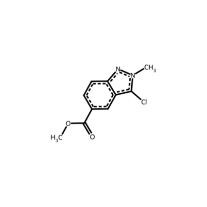 COC(=O)c1ccc2nn(C)c(Cl)c2c1